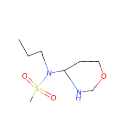 CCCN(C1CCOCN1)S(C)(=O)=O